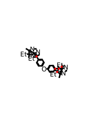 CCC(C)(c1ccc(Oc2ccc(C(C)(CC)C3(C)N4CN5CN(C4)C3(C)C5(C)CC)cc2)cc1)C1(C)N2CN3CN(C2)C1(C)C3(C)CC